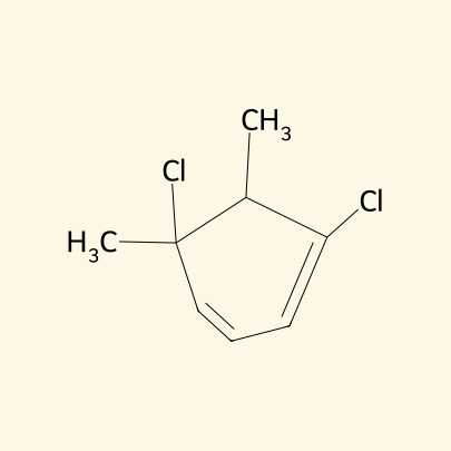 CC1C(Cl)=CC=CC1(C)Cl